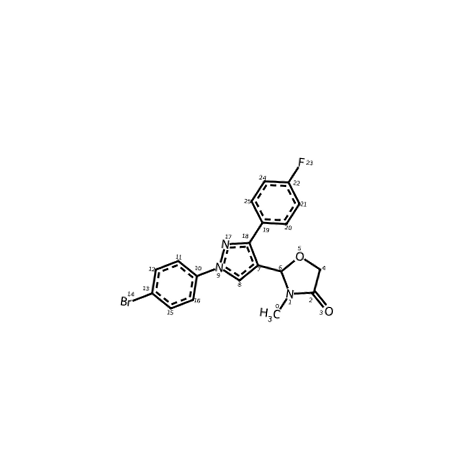 CN1C(=O)COC1c1cn(-c2ccc(Br)cc2)nc1-c1ccc(F)cc1